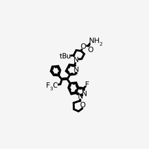 CC(C)(C)C1CC(OC(N)=O)CCN1c1ccc(/C(=C(/CC(F)(F)F)c2ccccc2)c2ccc3c(c2)c(F)nn3C2CCCCO2)cn1